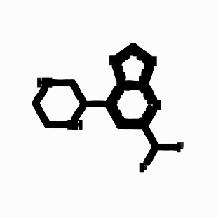 FC(F)c1cc(C2CNCCN2)n2ncnc2n1